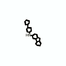 c1ccc(-c2ccc(Nc3ccc4c(c3)-c3ccccc3C4)cc2)cc1